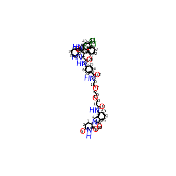 O=C1CCC(N2Cc3c(NC(=O)CCOCCOCCNC(=O)c4ccc(NC(=O)[C@@H]5NC6(CCCCC6)[C@@]6(C(=O)Nc7cc(Cl)ccc76)[C@H]5c5cccc(Cl)c5F)cc4)cccc3C2=O)C(=O)N1